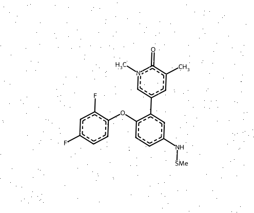 CSNc1ccc(Oc2ccc(F)cc2F)c(-c2cc(C)c(=O)n(C)c2)c1